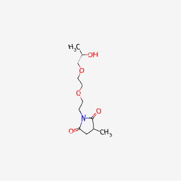 CC(O)COCCOCCN1C(=O)CC(C)C1=O